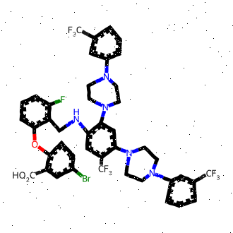 O=C(O)c1cc(Br)ccc1Oc1cccc(F)c1CNc1cc(C(F)(F)F)c(N2CCN(c3cccc(C(F)(F)F)c3)CC2)cc1N1CCN(c2cccc(C(F)(F)F)c2)CC1